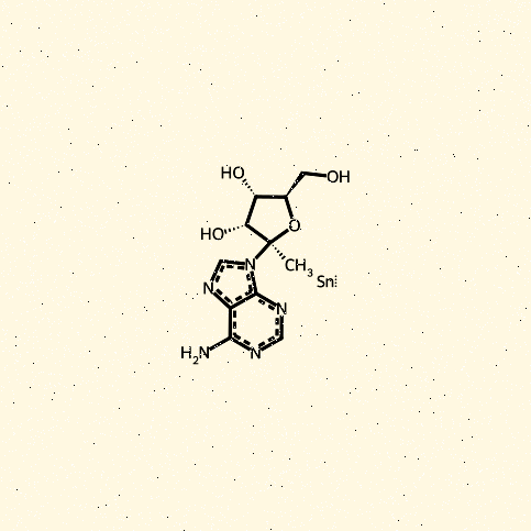 C[C@@]1(n2cnc3c(N)ncnc32)O[C@H](CO)[C@@H](O)[C@H]1O.[Sn]